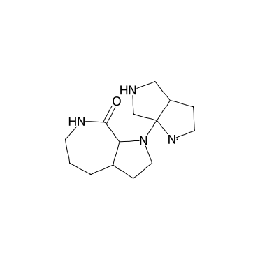 O=C1NCCCC2CCN(C34CNCC3CC[N]4)C12